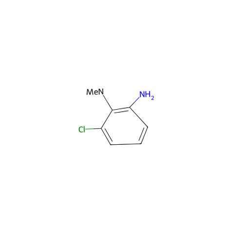 CNc1c(N)cccc1Cl